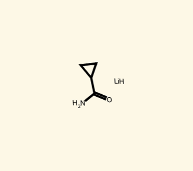 NC(=O)C1CC1.[LiH]